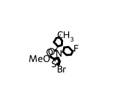 COC(=O)c1sc(Br)cc1N(C(=O)[C@H]1CC[C@H](C)CC1)[C@H]1CC[C@@H](F)CC1